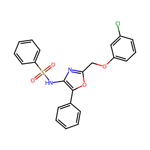 O=S(=O)(Nc1nc(COc2cccc(Cl)c2)oc1-c1ccccc1)c1ccccc1